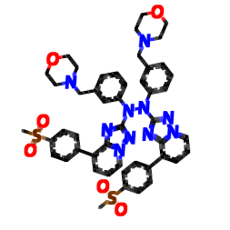 CS(=O)(=O)c1ccc(-c2cccn3nc(N(c4cccc(CN5CCOCC5)c4)N(c4cccc(CN5CCOCC5)c4)c4nc5c(-c6ccc(S(C)(=O)=O)cc6)cccn5n4)nc23)cc1